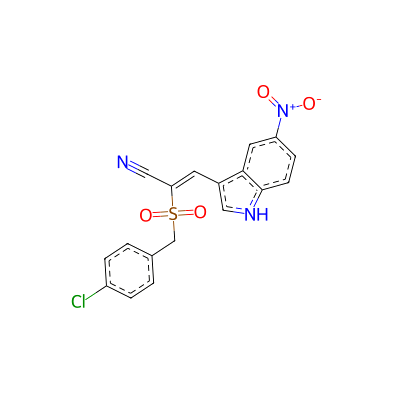 N#CC(=Cc1c[nH]c2ccc([N+](=O)[O-])cc12)S(=O)(=O)Cc1ccc(Cl)cc1